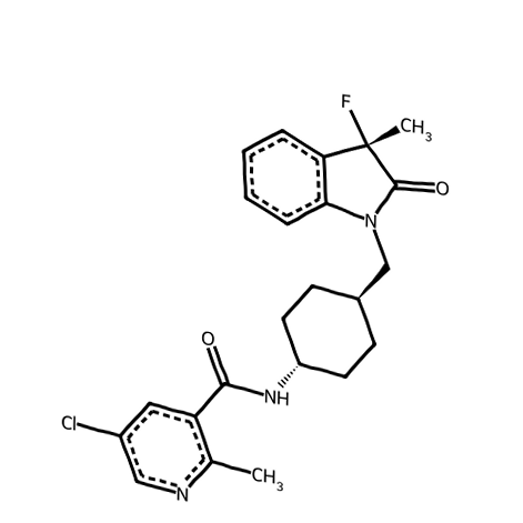 Cc1ncc(Cl)cc1C(=O)N[C@H]1CC[C@H](CN2C(=O)[C@@](C)(F)c3ccccc32)CC1